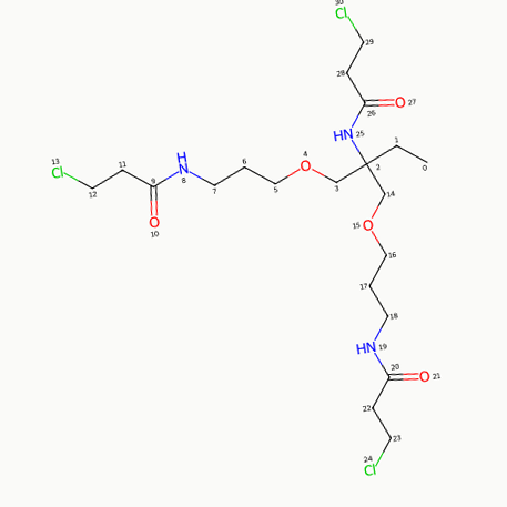 CCC(COCCCNC(=O)CCCl)(COCCCNC(=O)CCCl)NC(=O)CCCl